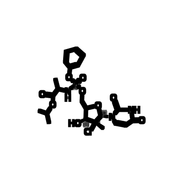 CC(C)OC(=O)C(C)N[P@@](=O)(OCC1O[C@H](n2ccc(=O)[nH]c2=O)[C@](C)(Cl)[C@@H]1O)Oc1ccccc1